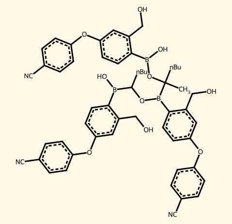 CCCCC(OB(c1ccc(Oc2ccc(C#N)cc2)cc1CO)C(C)(CCCC)OB(O)c1ccc(Oc2ccc(C#N)cc2)cc1CO)B(O)c1ccc(Oc2ccc(C#N)cc2)cc1CO